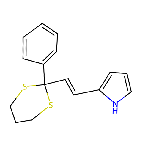 C(=CC1(c2ccccc2)SCCCS1)c1ccc[nH]1